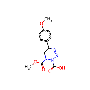 COC(=O)N1CC(c2ccc(OC)cc2)N=NN1C(=O)O